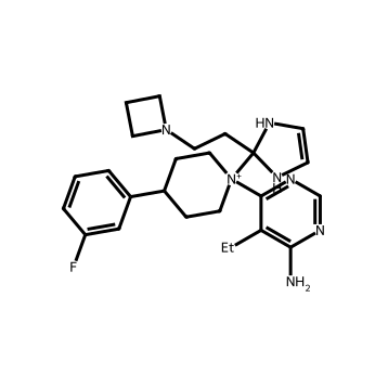 CCc1c(N)ncnc1[N+]1(C2(CCN3CCC3)NC=CN2)CCC(c2cccc(F)c2)CC1